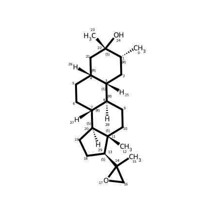 C[C@@H]1C[C@H]2[C@H](CC[C@@H]3[C@@H]2CC[C@]2(C)[C@@H](C4(C)CO4)CC[C@@H]32)C[C@]1(C)O